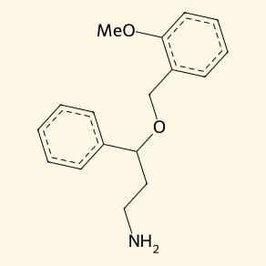 COc1ccccc1COC(CCN)c1ccccc1